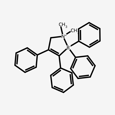 C[N+]1(C)CC(c2ccccc2)=C(c2ccccc2)[B-]1(c1ccccc1)c1ccccc1